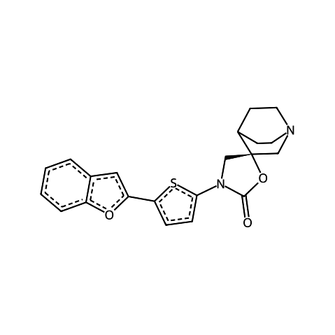 O=C1O[C@]2(CN3CCC2CC3)CN1c1ccc(-c2cc3ccccc3o2)s1